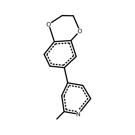 Cc1cc(-c2ccc3c(c2)OCCO3)ccn1